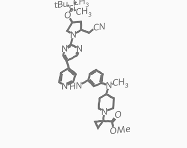 COC(=O)C1(N2CCC(N(C)c3cccc(Nc4cc(-c5cnc(N6CC(O[Si](C)(C)C(C)(C)C)CC6CC#N)nc5)ccn4)c3)CC2)CC1